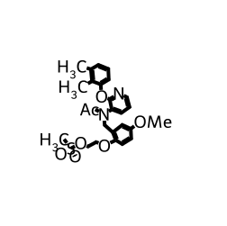 COc1ccc(OCCOS(C)(=O)=O)c(CN(C(C)=O)c2cccnc2Oc2cccc(C)c2C)c1